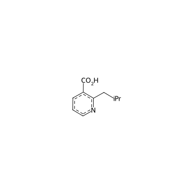 CC(C)Cc1ncccc1C(=O)O